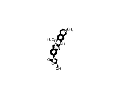 COc1cc2c(cc1Nc1ncc3ccc(N4C[C@H](CO)OC4=O)cc3n1)CN(C)CC2